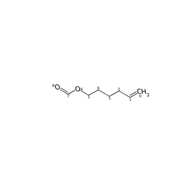 C=CCCCCO[C]=O